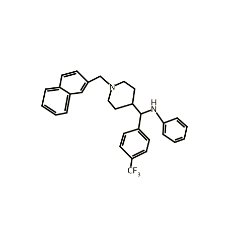 FC(F)(F)c1ccc(C(Nc2ccccc2)C2CCN(Cc3ccc4ccccc4c3)CC2)cc1